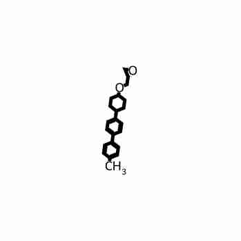 Cc1ccc(-c2ccc(C3CCC(OCC4CO4)CC3)cc2)cc1